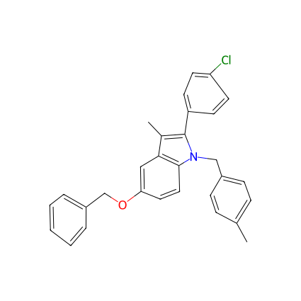 Cc1ccc(Cn2c(-c3ccc(Cl)cc3)c(C)c3cc(OCc4ccccc4)ccc32)cc1